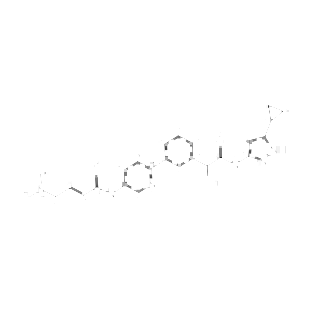 CC(C)C(C(=O)Nc1cc(C2CC2)[nH]n1)c1cccc(-c2ccc(NC(=O)/C=C/CN(C)C)cn2)c1